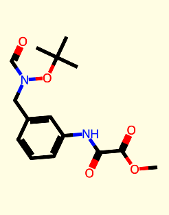 COC(=O)C(=O)Nc1cccc(CN(C=O)OC(C)(C)C)c1